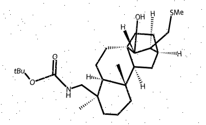 CSC[C@H]1[C@H]2CC[C@@]3(CC[C@@H]4[C@](C)(CNC(=O)OC(C)(C)C)CCC[C@@]4(C)[C@@H]3C2)[C@@H]1O